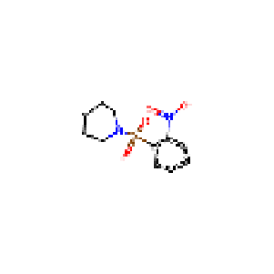 O=[N+]([O-])c1ccccc1S(=O)(=O)N1CC[CH]CC1